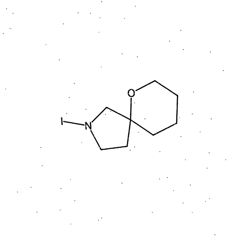 IN1CCC2(CCCCO2)C1